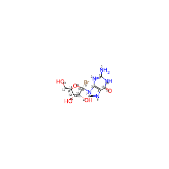 Nc1nc2c(ncn2[C@]2(Br)O[C@H](CO)[C@@H](O)[C@H]2O)c(=O)[nH]1